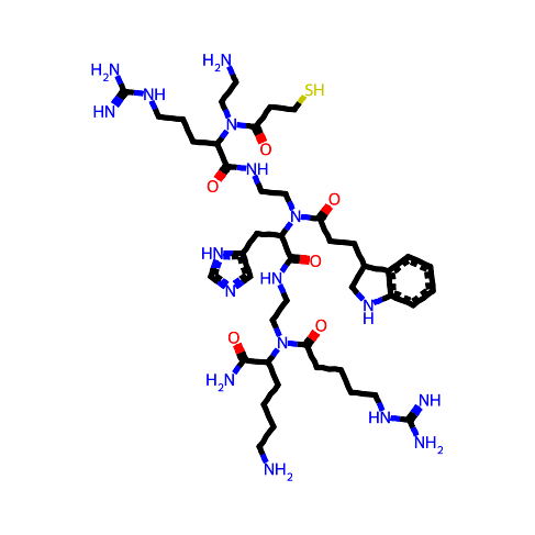 N=C(N)NCCCCC(=O)N(CCNC(=O)C(Cc1cnc[nH]1)N(CCNC(=O)C(CCCNC(=N)N)N(CCN)C(=O)CCS)C(=O)CCC1CNc2ccccc21)C(CCCCN)C(N)=O